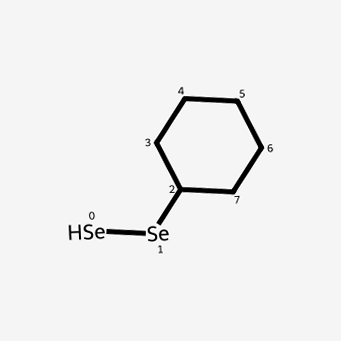 [SeH][Se]C1CCCCC1